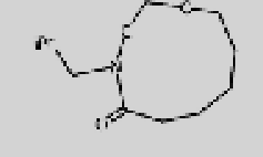 CC(C)CN1CCCCCCCCC1=O